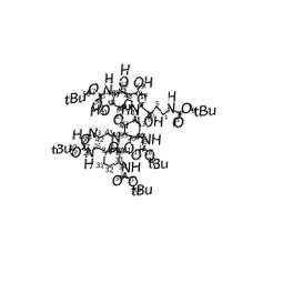 CC(C)(C)OC(=O)NCC[C@H](O)C(=O)N[C@@H]1C[C@@H](NC(=O)OC(C)(C)C)C(O[C@H]2OC(CNC(=O)OC(C)(C)C)CCC2NC(=O)OC(C)(C)C)C(NCCN)[C@H]1O[C@H]1OC(CO)[C@@H](O)[C@H](NC(=O)OC(C)(C)C)C1O